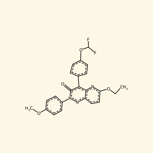 CCOc1ccc2nn(-c3ccc(OC)cc3)c(=O)c(-c3ccc(OC(F)F)cc3)c2n1